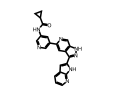 O=C(Nc1cncc(-c2cc3c(-c4cc5cccnc5[nH]4)n[nH]c3cn2)c1)C1CC1